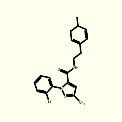 CC1C=CC(CCNC(=O)c2cc(C(F)(F)F)nn2-c2ccccc2Cl)=CC1